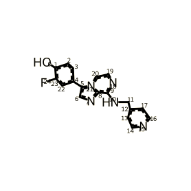 Oc1ccc(-c2cnc3c(NCc4ccncc4)nccn23)cc1F